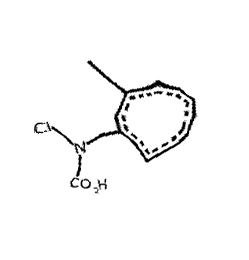 Cc1ccccc1N(Cl)C(=O)O